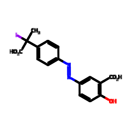 CC(I)(C(=O)O)c1ccc(N=Nc2ccc(O)c(C(=O)O)c2)cc1